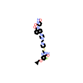 O=C1CCC(N2C(=O)c3cccc4c(N5CCN(CCN6CCC(SCc7nc8cc(OCC9CC9)cc(F)c8c(=O)[nH]7)CC6)CC5)ccc2c34)C(=O)N1